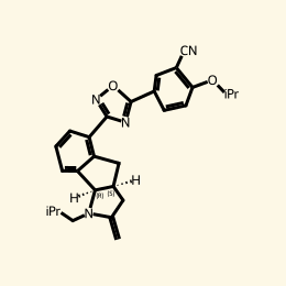 C=C1C[C@@H]2Cc3c(-c4noc(-c5ccc(OC(C)C)c(C#N)c5)n4)cccc3[C@@H]2N1CC(C)C